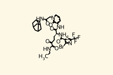 CCNC(=O)C(=O)CC[C@H](NC(=O)c1sc(C(F)(F)F)nc1Br)C(=O)Nc1cccn(CC(=O)NC2C3CC4CC(C3)CC2C4)c1=O